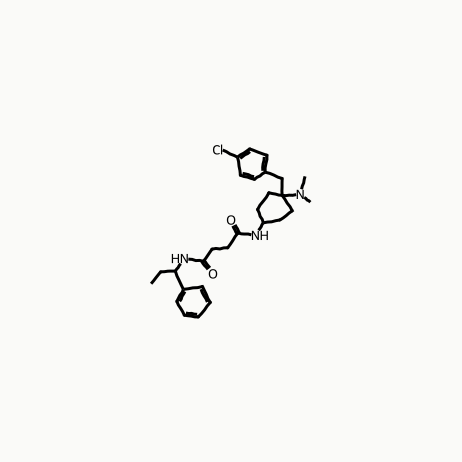 CCC(NC(=O)CCC(=O)NC1CCC(Cc2ccc(Cl)cc2)(N(C)C)CC1)c1ccccc1